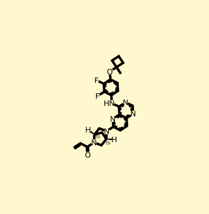 C=CC(=O)N1C[C@@H]2C[C@H]1CN2c1ccc2ncnc(Nc3ccc(OC4(C)CCC4)c(F)c3F)c2n1